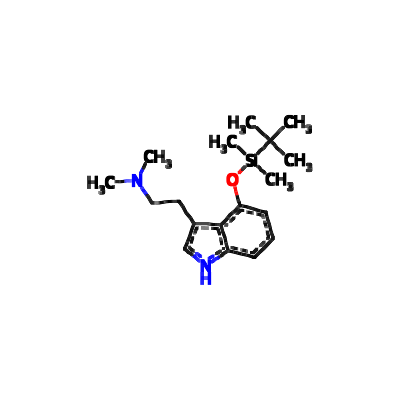 CN(C)CCc1c[nH]c2cccc(O[Si](C)(C)C(C)(C)C)c12